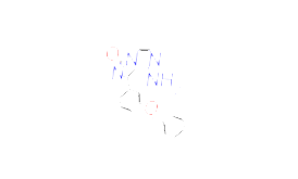 CCOc1nc(-c2cccc(OCc3ccccc3)c2)c2c(N)nccn12